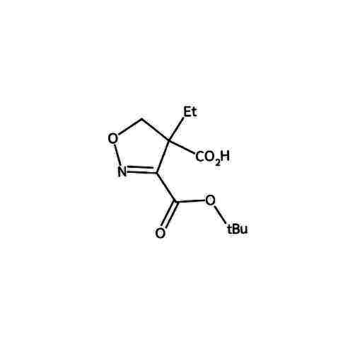 CCC1(C(=O)O)CON=C1C(=O)OC(C)(C)C